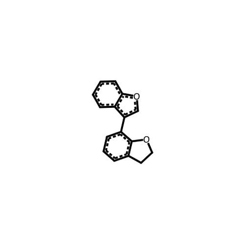 c1cc2c(c(-c3coc4ccccc34)c1)OCC2